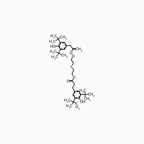 C=C(Cc1cc(C(C)(C)C)c(O)c(C(C)(C)C)c1)OOCCSCCOC(=O)CCc1cc(C(C)(C)C)c(O)c(C(C)(C)C)c1